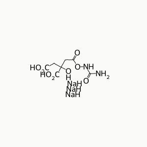 NC(=O)NOC(=O)CC(O)(CC(=O)O)C(=O)O.[NaH].[NaH].[NaH]